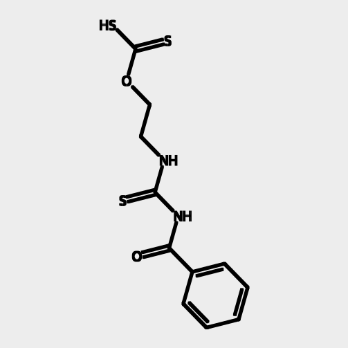 O=C(NC(=S)NCCOC(=S)S)c1ccccc1